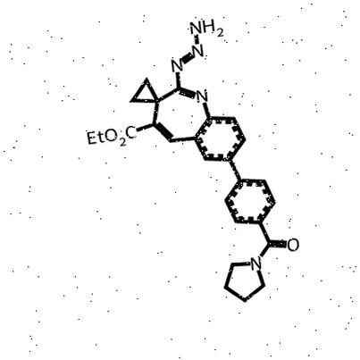 CCOC(=O)C1=Cc2cc(-c3ccc(C(=O)N4CCCC4)cc3)ccc2N=C(N=NN)C12CC2